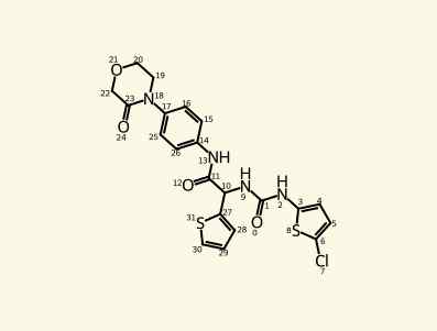 O=C(Nc1ccc(Cl)s1)NC(C(=O)Nc1ccc(N2CCOCC2=O)cc1)c1cccs1